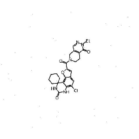 CCn1ncc2c(c1=O)CCN(C(=O)c1cc3cc(Cl)c4c(c3o1)C1(CCCCC1)NC(=O)N4)C2